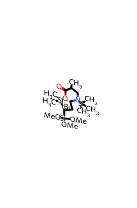 CO[Si](CCCN(CC(C)C(=O)O[Si](C)(C)C(C)(C)C)[Si](C)(C)C)(OC)OC